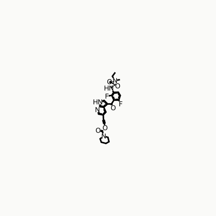 CCN(C)S(=O)(=O)Nc1ccc(F)c(C(=O)c2c[nH]c3ncc(C#COC(=O)N4CCCCC4)cc23)c1F